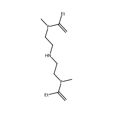 C=C(CC)P(C)CCNCCP(C)C(=C)CC